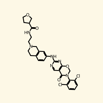 O=C(NCCN1CCc2ccc(Nc3ncc4c(n3)OCN(c3c(Cl)cccc3Cl)C4=O)cc2C1)C1CCOC1